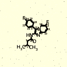 CC(C)CC(=O)Nc1nc2ccc(F)cn2c1-c1ccc(F)cc1